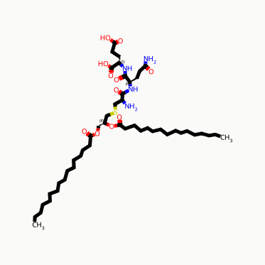 CCCCCCCCCCCCCCCC(=O)OC[C@H](CSCC(N)C(=O)N[C@H](CCC(N)=O)C(=O)N[C@@H](CCC(=O)O)C(=O)O)OC(=O)CCCCCCCCCCCCCCC